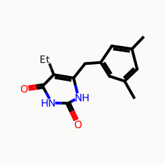 CCc1c(Cc2cc(C)cc(C)c2)[nH]c(=O)[nH]c1=O